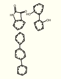 O=C1Nc2ccccc2C1=O.Oc1ccccc1-c1ccccc1O.c1ccc(-c2ccc(-c3ccccc3)cc2)cc1